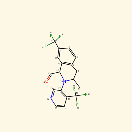 CC1Cc2ccc(C(F)(F)F)cc2C(C=O)N1c1cnccc1C(F)(F)F